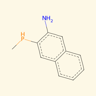 CPc1cc2ccccc2cc1N